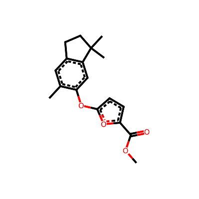 COC(=O)c1ccc(Oc2cc3c(cc2C)CCC3(C)C)o1